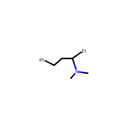 CCC(CCC(C)C)N(C)C